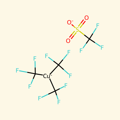 F[C](F)(F)[Cu-]([C](F)(F)F)[C](F)(F)F.O=S(=O)([O-])C(F)(F)F